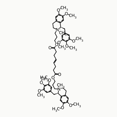 COc1cc2c(cc1OC)[C@@H](Cc1cc(OC)c(OC)c(OC)c1)[N@@+](C)(CCCOC(=O)CCC=CCCC(=O)OCCC[N@+]1(C)CCc3cc(OC)c(OC)cc3[C@H]1Cc1cc(OC)c(OC)c(OC)c1)CC2